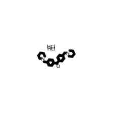 Cl.Cl.O=C(c1ccc(CN2CCCCC2)cc1)c1ccc(CN2CCCCC2)cc1